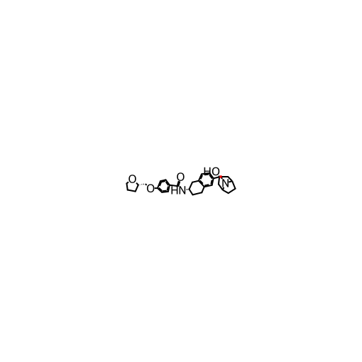 O=C(N[C@H]1CCc2cc(CN3C4CCC3CC(O)C4)ccc2C1)c1ccc(OC[C@@H]2CCCO2)cc1